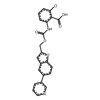 O=C(Nc1cccc(Cl)c1C(=O)O)OCc1cc2cc(-c3cccnc3)ccc2o1